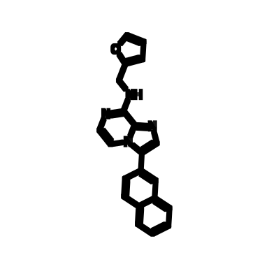 c1coc(CNc2nccn3c(-c4ccc5ccccc5c4)cnc23)c1